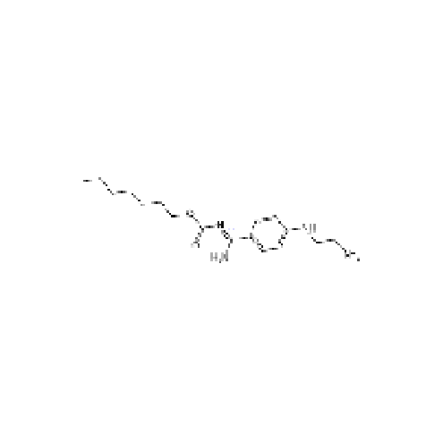 CCCCCCCOC(=O)/N=C(\N)c1ccc(NCCN)cc1